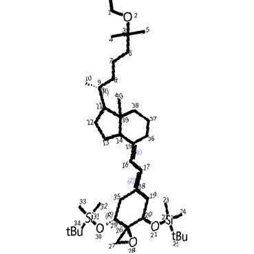 COCOC(C)(C)CCC[C@@H](C)C1CCC2/C(=C/C=C3/CC(O[Si](C)(C)C(C)(C)C)C4(CO4)[C@H](O[Si](C)(C)C(C)(C)C)C3)CCCC21C